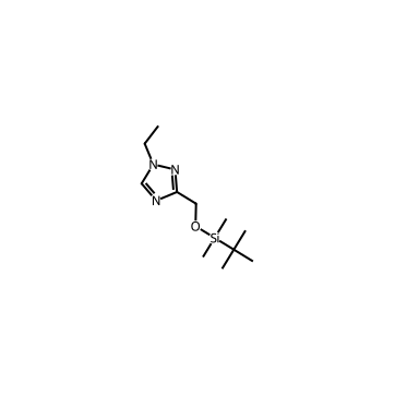 CCn1cnc(CO[Si](C)(C)C(C)(C)C)n1